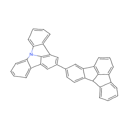 c1ccc2c(c1)-c1cccc3c1C2c1ccc(-c2cc4c5ccccc5n5c6ccccc6c(c2)c45)cc1-3